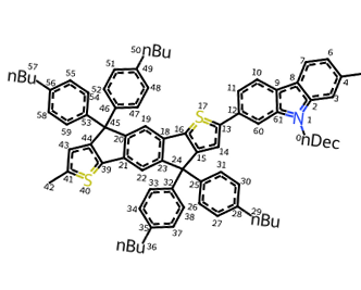 CCCCCCCCCCn1c2cc(C)ccc2c2ccc(-c3cc4c(s3)-c3cc5c(cc3C4(c3ccc(CCCC)cc3)c3ccc(CCCC)cc3)-c3sc(C)cc3C5(c3ccc(CCCC)cc3)c3ccc(CCCC)cc3)cc21